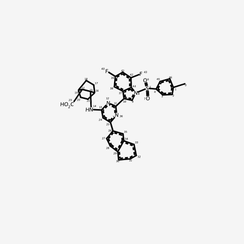 Cc1ccc(S(=O)(=O)n2cc(-c3nc(NC4C5CCC(CC5)C4C(=O)O)cc(-c4ccc5ccccc5c4)n3)c3cc(F)cc(F)c32)cc1